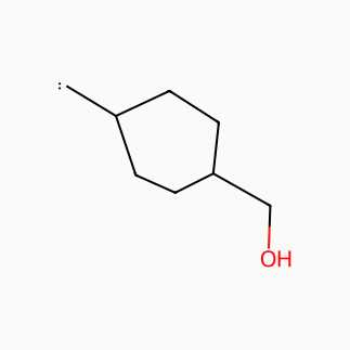 [CH]C1CCC(CO)CC1